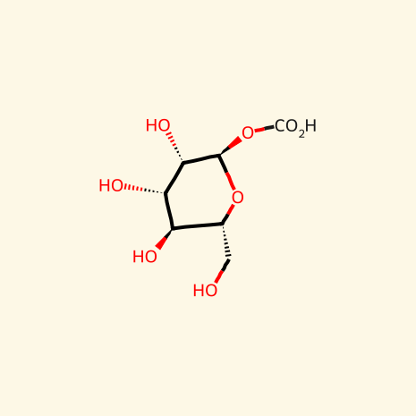 O=C(O)O[C@H]1O[C@H](CO)[C@@H](O)[C@H](O)[C@@H]1O